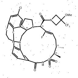 COC1(C(F)(F)F)CN(C(=O)[C@H]2/C(F)=C/C[C@H](C)[C@@H](C)S(=O)(=O)NC(=O)c3ccc4c(c3)N3CCCCc5cc(Cl)cc(c5CO4)[C@]4(CCCN24)C3)C1